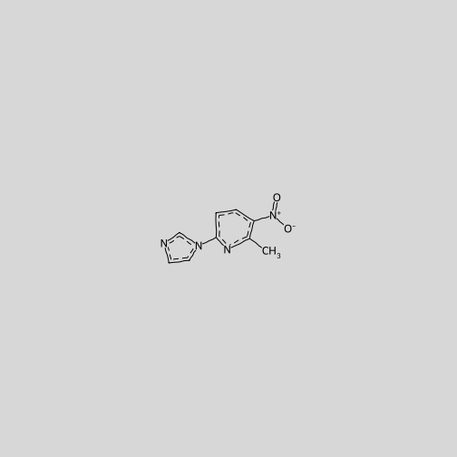 Cc1nc(-n2ccnc2)ccc1[N+](=O)[O-]